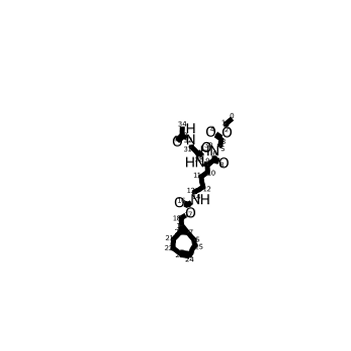 CCOC(=O)CNC(=O)C(CCCCNC(=O)OCC1C2CCC#CCCC21)NC(=O)CNC(C)=O